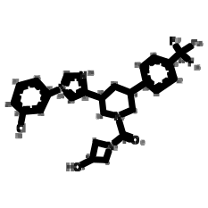 O=C(N1CC(O)C1)N1CC(c2ccc(C(F)(F)F)cc2)CC(c2cn(-c3cccc(Cl)c3)cn2)C1